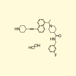 CC(c1cccc2c(C#CC3CCNCC3)cccc12)N1CCC(C(=O)NCc2cccc(F)c2)CC1.Cl.Cl